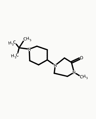 CN1CCN(C2CCN(C(C)(C)C)CC2)CC1=O